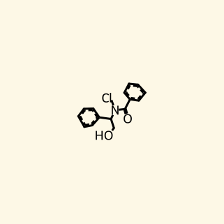 O=C(c1ccccc1)N(Cl)C(CO)c1ccccc1